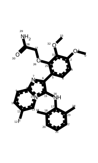 COc1ccc(-c2nc3ccc(F)cn3c2Nc2c(C)cccc2C)c(OCC(N)=O)c1OC